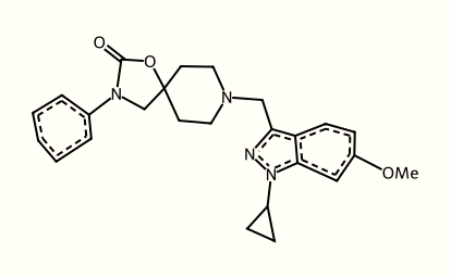 COc1ccc2c(CN3CCC4(CC3)CN(c3ccccc3)C(=O)O4)nn(C3CC3)c2c1